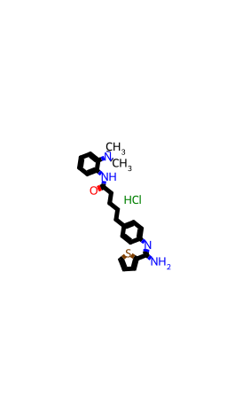 CN(C)c1ccccc1NC(=O)CCCCc1ccc(/N=C(/N)c2cccs2)cc1.Cl